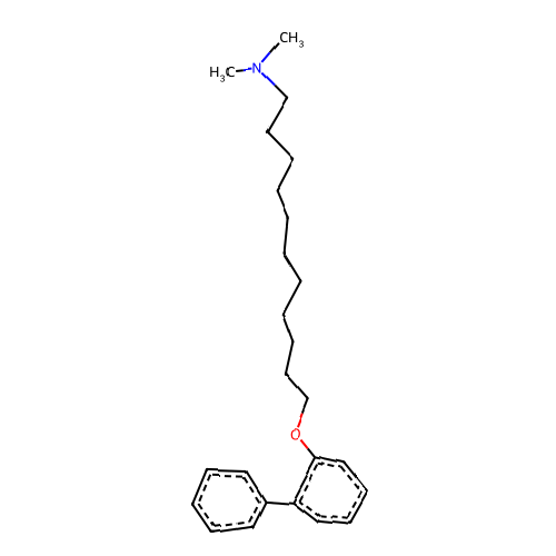 CN(C)CCCCCCCCCCCOc1ccccc1-c1ccccc1